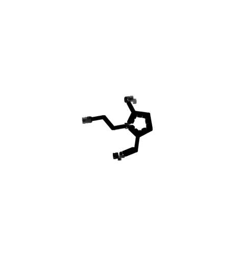 C=Cc1ccc(C)n1CCO